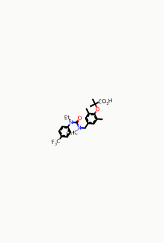 CCN(C(=O)N(C=O)Cc1cc(C)c(OC(C)(C)C(=O)O)c(C)c1)c1ccc(C(F)(F)F)cc1